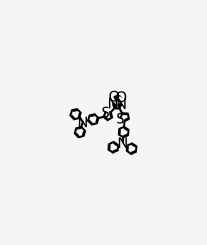 O=S1(=O)N=C(c2ccc(-c3ccc(N(c4ccccc4)c4ccccc4)cc3)s2)C(c2ccc(-c3ccc(N(c4ccccc4)c4ccccc4)cc3)s2)=N1